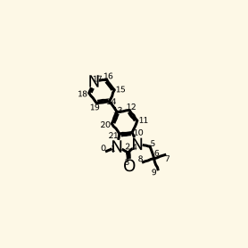 Cn1c(=O)n(CC(C)(C)C)c2ccc(-c3ccncc3)cc21